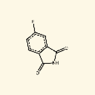 O=C1NC(=O)c2cc(F)ccc21